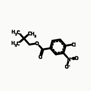 CC(C)(C)COC(=O)c1ccc(Cl)c([N+](=O)[O-])c1